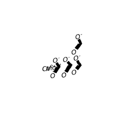 O=C[O-].O=C[O-].O=C[O-].O=C[O-].[Ca+2].[Mg+2]